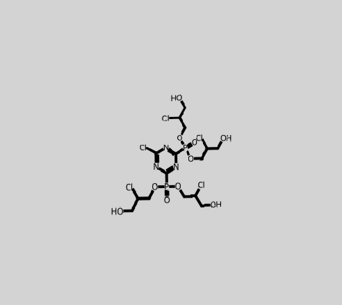 O=P(OCC(Cl)CO)(OCC(Cl)CO)c1nc(Cl)nc(P(=O)(OCC(Cl)CO)OCC(Cl)CO)n1